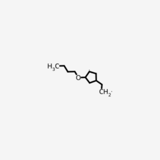 [CH2]CC1C[CH]C(OCCCC)C1